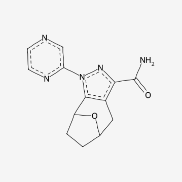 NC(=O)c1nn(-c2cnccn2)c2c1CC1CCC2O1